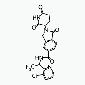 O=C1CC[C@@H](N2Cc3cc(C(=O)NC(c4ncccc4Cl)C(F)(F)F)ccc3C2=O)C(=O)N1